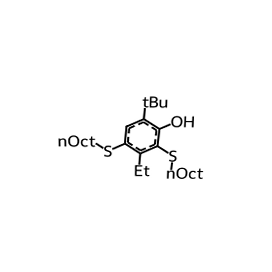 CCCCCCCCSc1cc(C(C)(C)C)c(O)c(SCCCCCCCC)c1CC